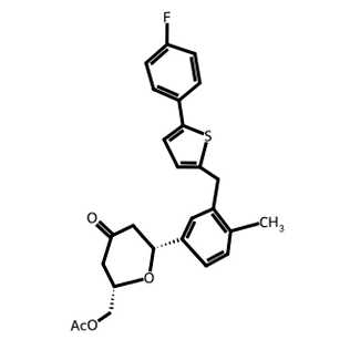 CC(=O)OC[C@@H]1CC(=O)C[C@H](c2ccc(C)c(Cc3ccc(-c4ccc(F)cc4)s3)c2)O1